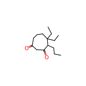 CCCC1C(=O)CC(=O)CCCC1(CC)CC